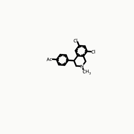 CC(=O)c1ccc(C2CN(C)Cc3c(Cl)cc(Cl)cc32)cc1